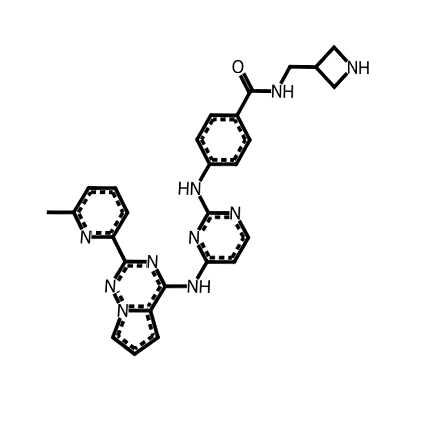 Cc1cccc(-c2nc(Nc3ccnc(Nc4ccc(C(=O)NCC5CNC5)cc4)n3)c3cccn3n2)n1